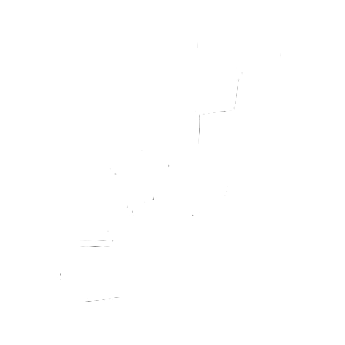 CN(C)CCC1OCCc2c1cnn2-c1ccccc1